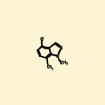 Cc1ccc(Cl)c2cnn(C)c12